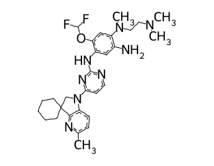 Cc1ccc2c(n1)C1(CCCCC1)CN2c1ccnc(Nc2cc(N)c(N(C)CCN(C)C)cc2OC(F)F)n1